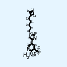 Nc1ncc(-c2cn(CCCCCC34CC(C3)C4)[c]n2)cc1C(F)(F)F